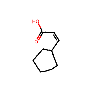 O=C(O)/C=C\C1CCCCC1